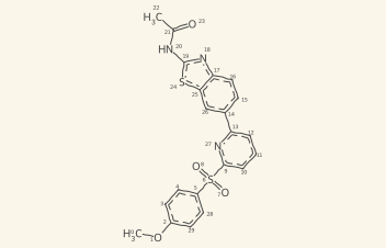 COc1ccc(S(=O)(=O)c2cccc(-c3ccc4nc(NC(C)=O)sc4c3)n2)cc1